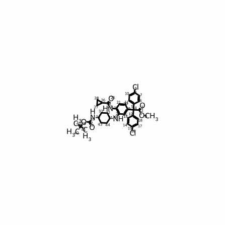 COC(=O)C(c1ccc(Cl)cc1)(c1ccc(Cl)cc1)c1ccc(NC(=O)C2CC2)c(N[C@H]2CC[C@@H](NC(=O)OC(C)(C)C)CC2)c1